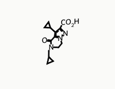 O=C(O)c1nn2c(c1C1CC1)C(=O)N(CC1CC1)CC2